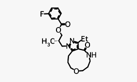 CCc1nn(C[C@H](C)COC(=O)c2cccc(F)c2)c2c1C(=O)NCCCOCCC2